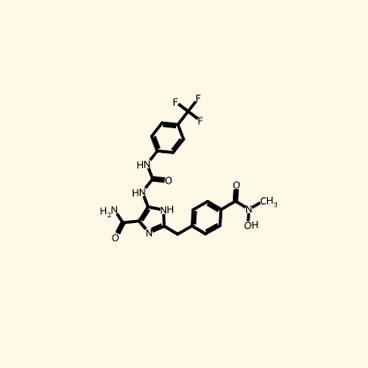 CN(O)C(=O)c1ccc(Cc2nc(C(N)=O)c(NC(=O)Nc3ccc(C(F)(F)F)cc3)[nH]2)cc1